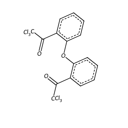 O=C(c1ccccc1Oc1ccccc1C(=O)C(Cl)(Cl)Cl)C(Cl)(Cl)Cl